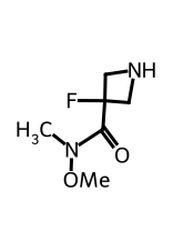 CON(C)C(=O)C1(F)CNC1